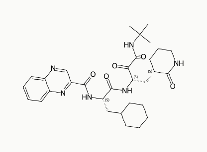 CC(C)(C)NC(=O)C(=O)[C@H](C[C@@H]1CCCNC1=O)NC(=O)[C@H](CC1CCCCC1)NC(=O)c1cnc2ccccc2n1